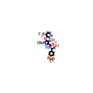 CCS(=O)(=O)c1ccc(C(CO)NC(=O)c2nn(C(C)(C)C)c(Oc3cnccc3C(F)(F)F)c2C)cc1